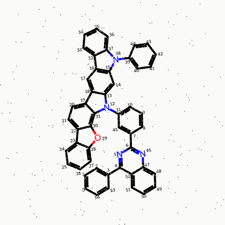 c1ccc(-c2nc(-c3cccc(-n4c5cc6c(cc5c5ccc7c8ccccc8oc7c54)c4ccccc4n6-c4ccccc4)c3)nc3ccccc23)cc1